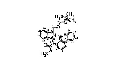 CCC(=O)N(c1cccc(-c2ccccc2)c1N)c1nn(COCC[Si](C)(C)C)c2ccccc12